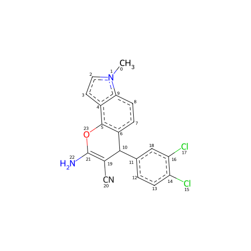 Cn1ccc2c3c(ccc21)C(c1ccc(Cl)c(Cl)c1)C(C#N)=C(N)O3